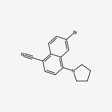 N#Cc1ccc(N2CCCC2)c2cc(Br)ccc12